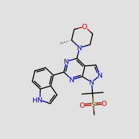 C[C@@H]1COCCN1c1nc(-c2cccc3[nH]ccc23)nc2c1cnn2C(C)(C)S(C)(=O)=O